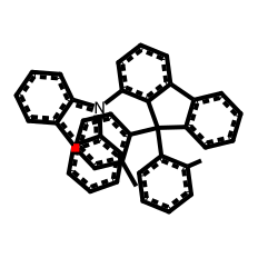 Cc1ccccc1C1(c2ccccc2C)c2ccccc2-c2cccc(-n3c4ccccc4c4ccccc43)c21